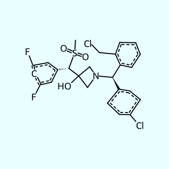 CS(=O)(=O)[C@@H](c1cc(F)cc(F)c1)C1(O)CN([C@H](c2ccc(Cl)cc2)c2ccccc2CCl)C1